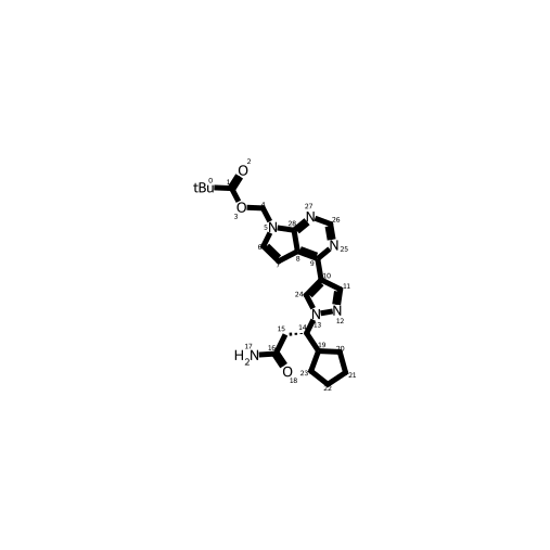 CC(C)(C)C(=O)OCn1ccc2c(-c3cnn([C@@H](CC(N)=O)C4CCCC4)c3)ncnc21